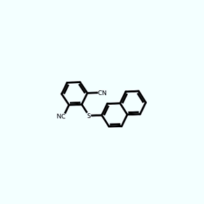 N#Cc1cccc(C#N)c1Sc1ccc2ccccc2c1